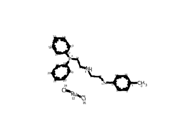 Cc1ccc(SCCNCCP(c2ccccc2)c2ccccc2)cc1.[Cl][Ru][Cl]